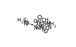 CC(NC(=O)c1c(N)ncc2cccnc12)c1nc2[nH]nc(C#Cc3cnn(C)c3)c2c(=O)n1-c1ccccc1